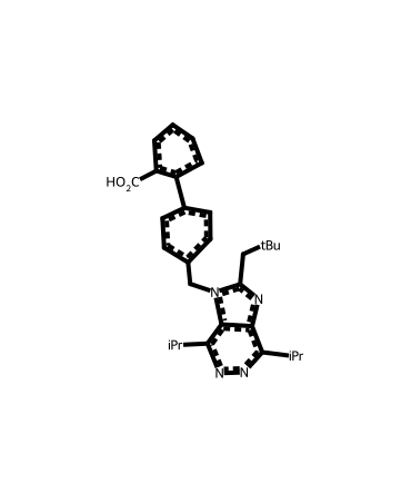 CC(C)c1nnc(C(C)C)c2c1nc(CC(C)(C)C)n2Cc1ccc(-c2ccccc2C(=O)O)cc1